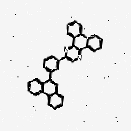 c1cc(-c2cnc3c4ccccc4c4ccccc4c3n2)cc(-c2cc3ccccc3c3ccccc23)c1